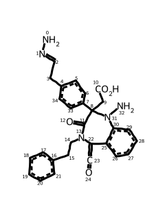 NN=CCc1ccc(C2(CC(=O)O)C(=O)N(CCc3ccccc3)C(=C=O)c3ccccc3N2N)cc1